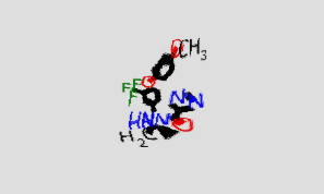 C=C(NCc1ccc(Oc2ccc(OC)cc2)c(C(F)(F)F)c1)C1(NC(=O)c2cncnc2)CC1